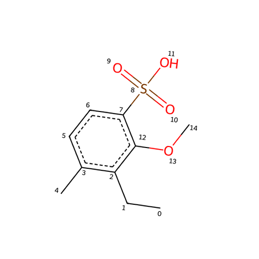 CCc1c(C)ccc(S(=O)(=O)O)c1OC